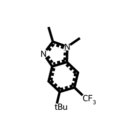 Cc1nc2cc(C(C)(C)C)c(C(F)(F)F)cc2n1C